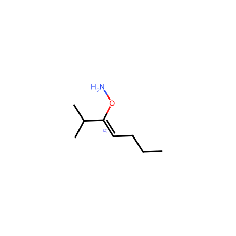 CCC/C=C(\ON)C(C)C